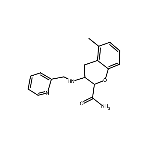 Cc1cccc2c1CC(NCc1ccccn1)C(C(N)=O)O2